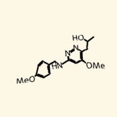 COc1ccc(CNc2cc(OC)c(CC(C)O)nn2)cc1